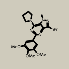 CCCc1nn(C)c2c(N3CCCC3)nc(-c3cc(OC)c(OC)c(OC)c3)nc12